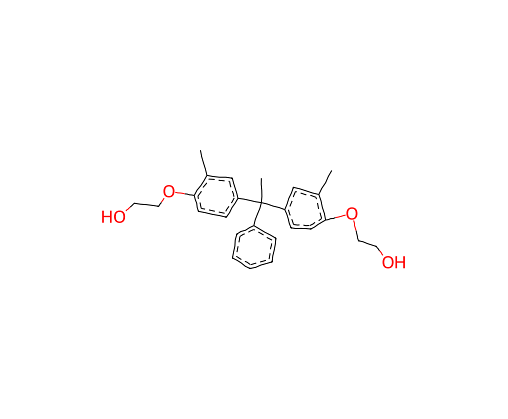 Cc1cc(C(C)(c2ccccc2)c2ccc(OCCO)c(C)c2)ccc1OCCO